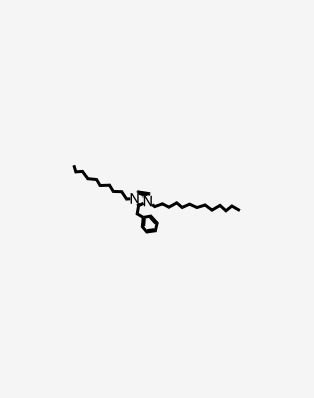 CCCCCCCCCCCCCn1cc[n+](CCCCCCCCCC)c1Cc1ccccc1